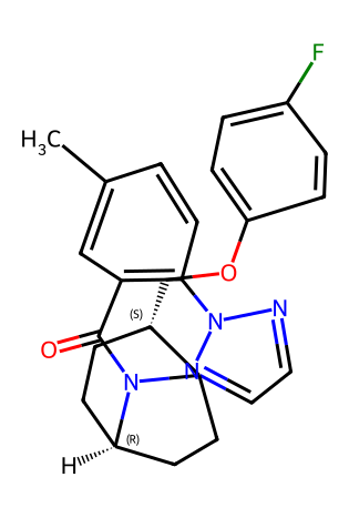 Cc1ccc(-n2nccn2)c(C(=O)N2C3CC[C@H]2CC[C@@H]3COc2ccc(F)cc2)c1